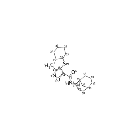 Cc1noc(C(=O)NC2C3CC4CCCC2(C4)C3)c1SC1CCCCC1